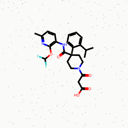 Cc1ccc(NC(=O)C2(c3ccccc3C(C)C)CCN(C(=O)CC(=O)O)CC2)c(OC(F)F)n1